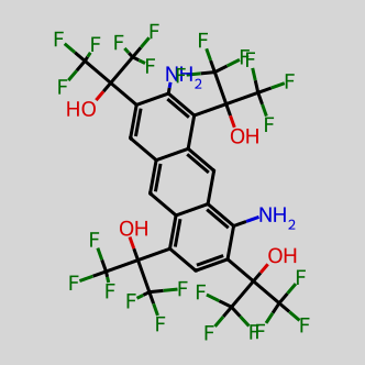 Nc1c(C(O)(C(F)(F)F)C(F)(F)F)cc2cc3c(C(O)(C(F)(F)F)C(F)(F)F)cc(C(O)(C(F)(F)F)C(F)(F)F)c(N)c3cc2c1C(O)(C(F)(F)F)C(F)(F)F